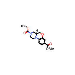 COC(=O)c1ccc2c(c1)OC[C@@H]1CN(C(=O)OC(C)(C)C)CCN21